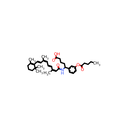 CCCCC(=O)Oc1cccc(C(CCCC(=O)O)NC(=O)C=C(C)C=CC=C(C)C=CC2=C(C)CCCC2(C)C)c1